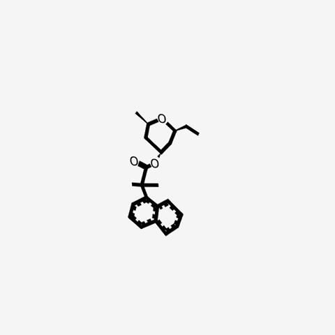 CC[C@H]1C[C@H](OC(=O)C(C)(C)c2cccc3ccccc23)C[C@@H](C)O1